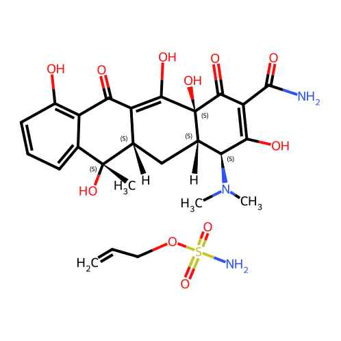 C=CCOS(N)(=O)=O.CN(C)[C@@H]1C(O)=C(C(N)=O)C(=O)[C@@]2(O)C(O)=C3C(=O)c4c(O)cccc4[C@@](C)(O)[C@H]3C[C@@H]12